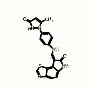 Cc1cc(=O)[nH]n1-c1ccc(N/C=C2\C(=O)Nc3ccc4ncsc4c32)cc1